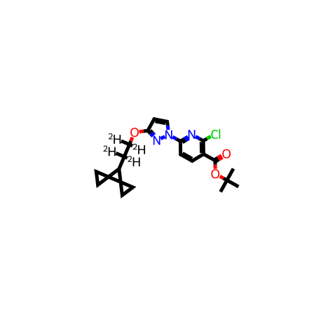 [2H]C([2H])(Oc1ccn(-c2ccc(C(=O)OC(C)(C)C)c(Cl)n2)n1)C([2H])([2H])C1C2(CC2)C12CC2